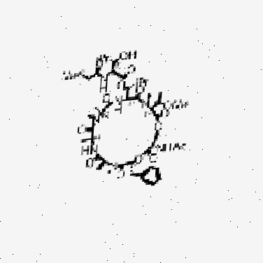 C=C1C(=O)N[C@@H](C)C(=O)N(C)[C@@H](C)C(=O)N[C@@H]([C@H](OC(=O)[C@@H](NC(=O)CSC)[C@H](O)C(C)C)C(C)C)C(=O)N(C)[C@@H]([C@@H](C)OC)C(=O)O[C@H](C)[C@H](NC(C)=O)C(=O)O[C@H](Cc2ccccc2)C(=O)N1C